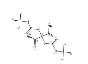 CC(C)(C)OC(=O)CC(CC(=O)OC(C)(C)C)(C(=O)O)C(=O)O